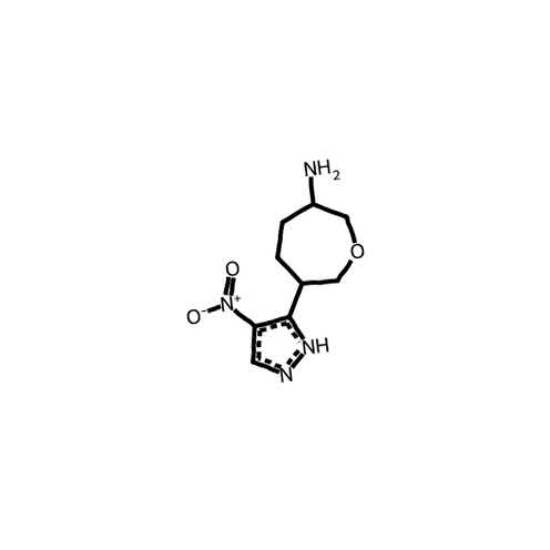 NC1CCC(c2[nH]ncc2[N+](=O)[O-])COC1